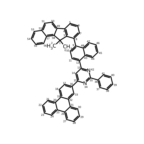 CC1(C)c2c(cccc2-c2ccc(-c3cc(-c4ccc5c6ccccc6c6ccccc6c5c4)nc(-c4ccccc4)n3)c3ccccc23)-c2ccc3ccccc3c21